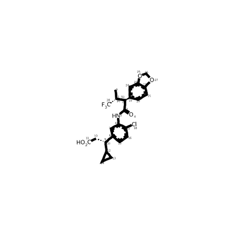 C[C@H]([C@H](C(=O)Nc1cc([C@@H](CC(=O)O)C2CC2)ccc1Cl)c1ccc2c(c1)OCO2)C(F)(F)F